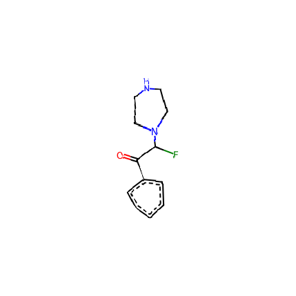 O=C(c1ccccc1)C(F)N1CCNCC1